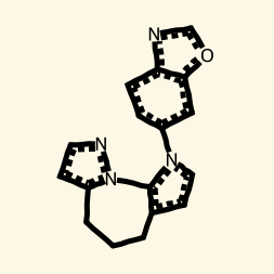 c1cc2n(n1)-c1c(ccn1-c1ccc3ncoc3c1)CCC2